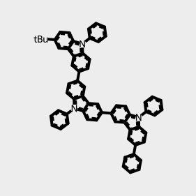 CC(C)(C)c1ccc2c(c1)c1cc(-c3ccc4c(c3)c3cc(-c5ccc6c(c5)c5cc(-c7ccccc7)ccc5n6-c5ccccc5)ccc3n4-c3ccccc3)ccc1n2-c1ccccc1